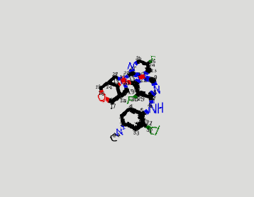 [C-]#[N+]c1ccc(Nc2ncnc(OC3C4COCC3CN(c3ncc(F)cn3)C4)c2F)c(Cl)c1